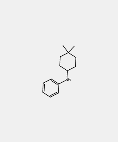 CC1(C)CCC(Nc2ccccc2)CC1